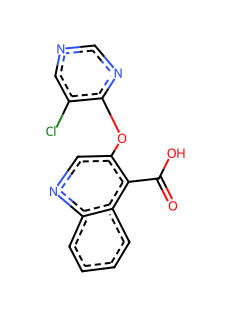 O=C(O)c1c(Oc2ncncc2Cl)cnc2ccccc12